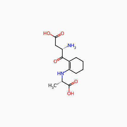 C[C@H](NC1=C(C(=O)[C@@H](N)CC(=O)O)CCCC1)C(=O)O